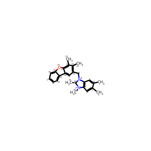 Cc1cc2c(cc1C)N(Cc1cc3c(oc4ccccc43)c(C)c1C)[C@H](C)N2C